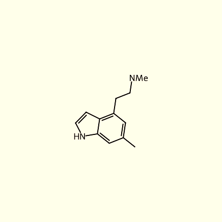 CNCCc1cc(C)cc2[nH]ccc12